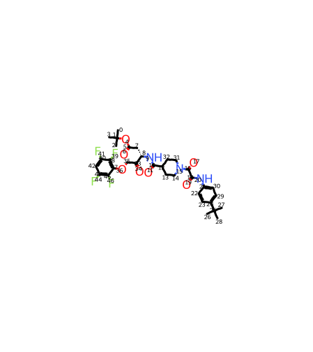 CC(C)(C)OC(=O)C[C@H](NC(=O)C1CCN(C(=O)C(=O)Nc2ccc(C(C)(C)C)cc2)CC1)C(=O)COc1c(F)c(F)cc(F)c1F